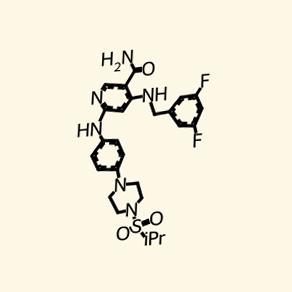 CC(C)S(=O)(=O)N1CCN(c2ccc(Nc3cc(NCc4cc(F)cc(F)c4)c(C(N)=O)cn3)cc2)CC1